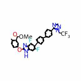 COC(=O)c1cc(Oc2nc3c(F)c(-c4ccc(-c5ccc(-c6ncnn6CC(F)(F)F)cc5)cc4)c(F)cc3[nH]2)ccc1C